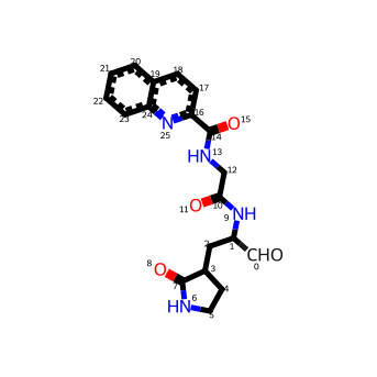 O=CC(CC1CCNC1=O)NC(=O)CNC(=O)c1ccc2ccccc2n1